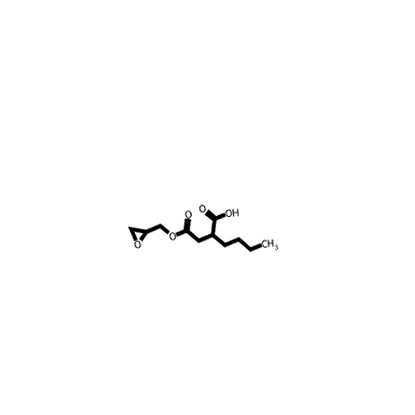 CCCCC(CC(=O)OCC1CO1)C(=O)O